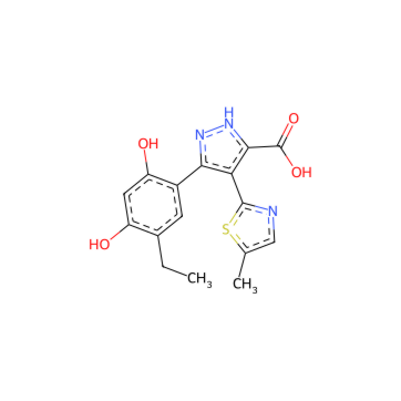 CCc1cc(-c2n[nH]c(C(=O)O)c2-c2ncc(C)s2)c(O)cc1O